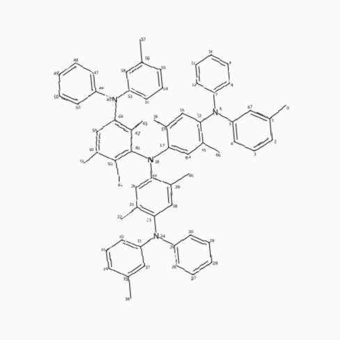 Cc1cccc(N(c2ccccc2)c2cc(C)c(N(c3cc(C)c(N(c4ccccc4)c4cccc(C)c4)cc3C)c3c(C)c(N(c4ccccc4)c4cccc(C)c4)cc(C)c3I)cc2C)c1